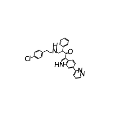 O=C(c1c[nH]c2cc(-c3cccnn3)ccc12)C(CNCCc1ccc(Cl)cc1)c1ccccc1